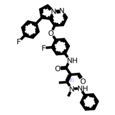 C/C(=C(/C=O)C(=O)Nc1ccc(Oc2ccnn3ccc(-c4ccc(F)cc4)c23)c(F)c1)N(C)Nc1ccccc1